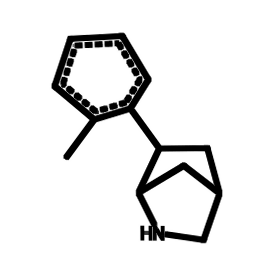 Cc1ccccc1C1CC2CNC1C2